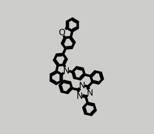 c1ccc(-c2nc(-c3ccccc3)nc(-c3ccccc3-c3ccc(-n4c5ccccc5c5ccc(-c6ccc7c(c6)oc6ccccc67)cc54)cc3)n2)cc1